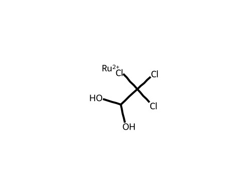 OC(O)C(Cl)(Cl)Cl.[Ru+2]